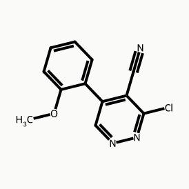 COc1ccccc1-c1cnnc(Cl)c1C#N